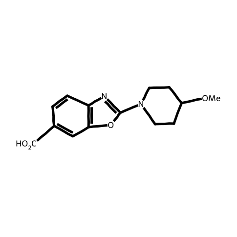 COC1CCN(c2nc3ccc(C(=O)O)cc3o2)CC1